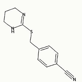 N#Cc1ccc(CSC2=NCCCN2)cc1